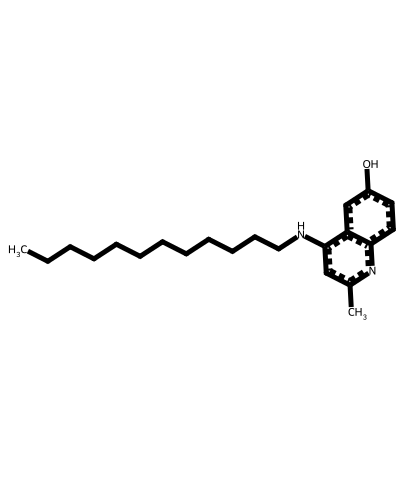 CCCCCCCCCCCCNc1cc(C)nc2ccc(O)cc12